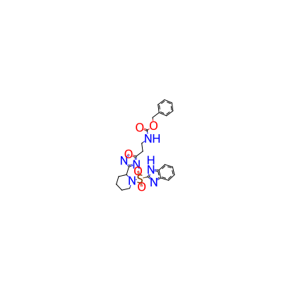 O=C(NCCc1nc(C2CCCCN2S(=O)(=O)c2nc3ccccc3[nH]2)no1)OCc1ccccc1